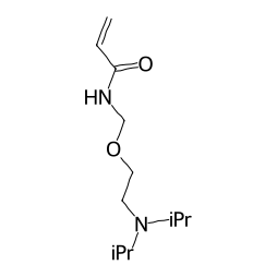 C=CC(=O)NCOCCN(C(C)C)C(C)C